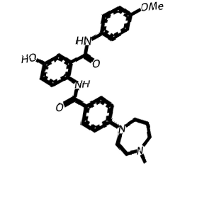 COc1ccc(NC(=O)c2cc(O)ccc2NC(=O)c2ccc(N3CCCN(C)CC3)cc2)cc1